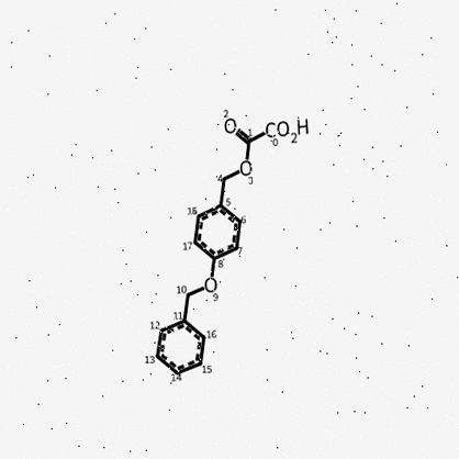 O=C(O)C(=O)OCc1ccc(OCc2ccccc2)cc1